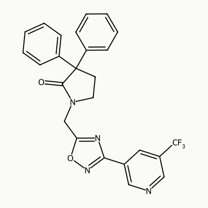 O=C1N(Cc2nc(-c3cncc(C(F)(F)F)c3)no2)CCC1(c1ccccc1)c1ccccc1